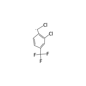 FC(F)(F)c1ccc([CH]Cl)c(Cl)c1